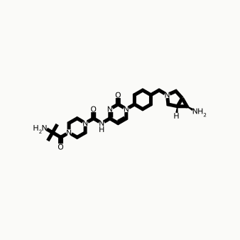 CC(C)(N)C(=O)N1CCN(C(=O)Nc2ccn(C3CCC(CN4CC5[C@@H](N)[C@@H]5C4)CC3)c(=O)n2)CC1